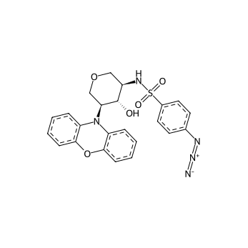 [N-]=[N+]=Nc1ccc(S(=O)(=O)N[C@@H]2COC[C@H](N3c4ccccc4Oc4ccccc43)[C@H]2O)cc1